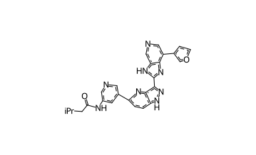 CC(C)CC(=O)Nc1cncc(-c2ccc3[nH]nc(-c4nc5c(-c6ccoc6)cncc5[nH]4)c3n2)c1